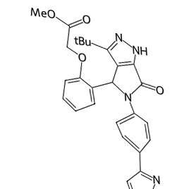 COC(=O)COc1ccccc1C1c2c(C(C)(C)C)n[nH]c2C(=O)N1c1ccc(-c2ccon2)cc1